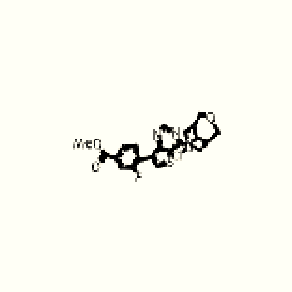 COC(=O)c1ccc(-c2csc3c(OC4C5COCC4CN(Cl)C5)ncnc23)c(F)c1